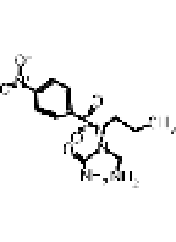 CCCN(N(CN)C(N)=O)S(=O)(=O)c1ccc([N+](=O)[O-])cc1